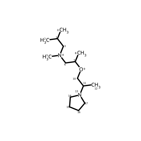 CC(C)CN(C)CC(C)OCC(C)N1CCCC1